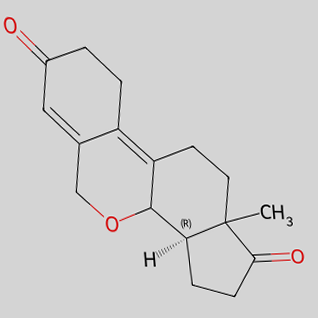 CC12CCC3=C4CCC(=O)C=C4COC3[C@@H]1CCC2=O